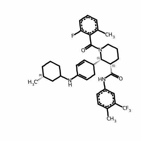 Cc1ccc(NC(=O)[C@H]2CCCN(C(=O)c3c(C)cccc3F)[C@H]2C2C=CC(NC3CCC[C@@H](C)C3)=CC2)cc1C(F)(F)F